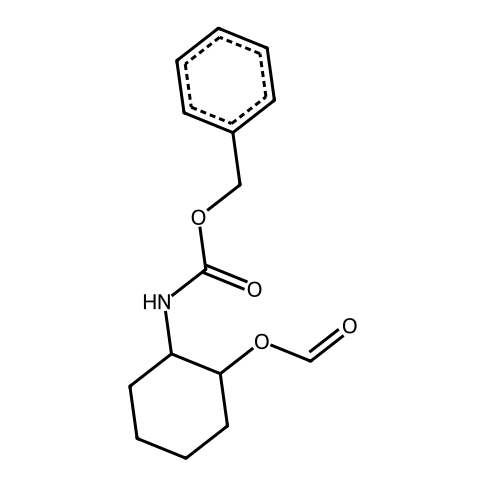 O=COC1CCCCC1NC(=O)OCc1ccccc1